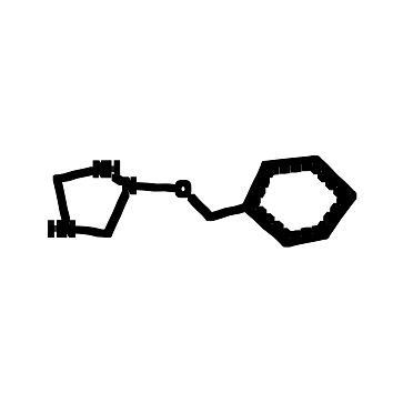 c1ccc(CON2CNCN2)cc1